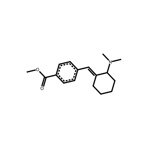 COC(=O)c1ccc(C=C2CCCCC2N(C)C)cc1